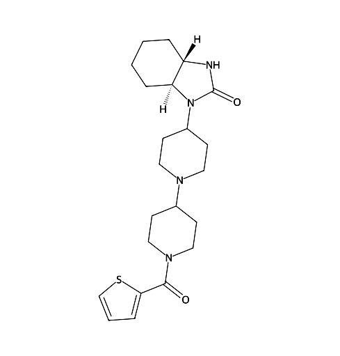 O=C(c1cccs1)N1CCC(N2CCC(N3C(=O)N[C@H]4CCCC[C@@H]43)CC2)CC1